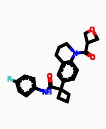 O=C(C1COC1)N1CCCc2cc(C3(C(=O)Nc4ccc(F)cc4)CCC3)ccc21